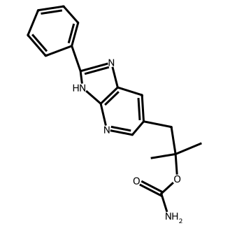 CC(C)(Cc1cnc2[nH]c(-c3ccccc3)nc2c1)OC(N)=O